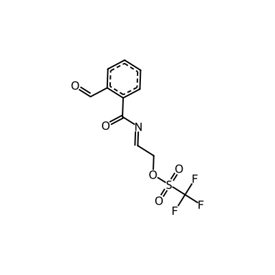 O=Cc1ccccc1C(=O)N=CCOS(=O)(=O)C(F)(F)F